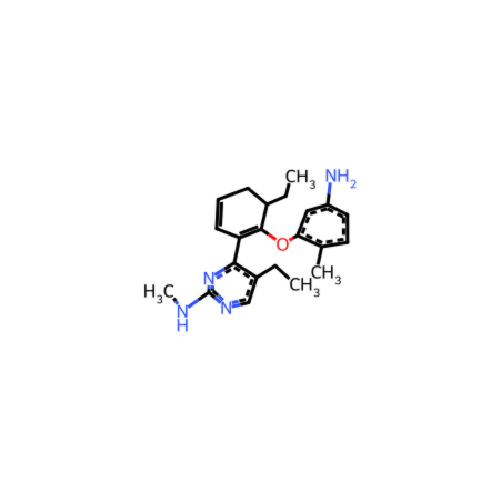 CCc1cnc(NC)nc1C1=C(Oc2cc(N)ccc2C)C(CC)CC=C1